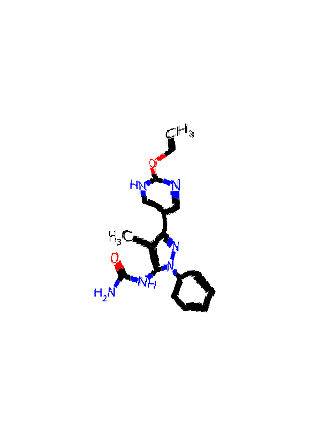 CCOC1N=CC(c2nn(-c3ccccc3)c(NC(N)=O)c2C)=CN1